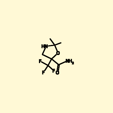 CC1(C)NCC(C(N)=O)(C(F)(F)F)O1